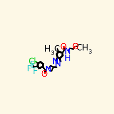 COCCNC(=O)c1cc2cn(CC3CN(C(=O)c4ccc(Cl)c(C(F)(F)F)c4)C3)nc2cc1C